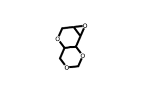 C1OCC2OCC3OC3C2O1